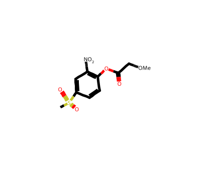 COCC(=O)Oc1ccc(S(C)(=O)=O)cc1[N+](=O)[O-]